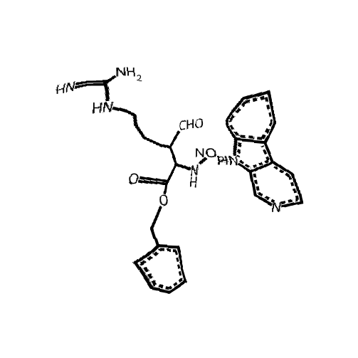 N=C(N)NCCC(C=O)C(N[N+](=O)[O-])C(=O)OCc1ccccc1.c1ccc2c(c1)[nH]c1cnccc12